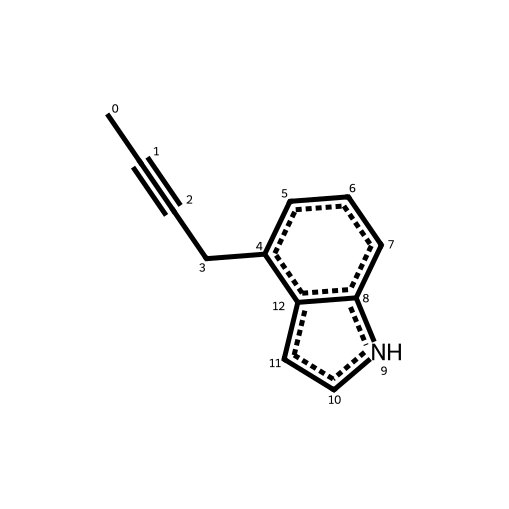 CC#CCc1cccc2[nH]ccc12